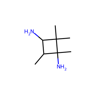 CC1C(N)C(C)(C)C1(C)N